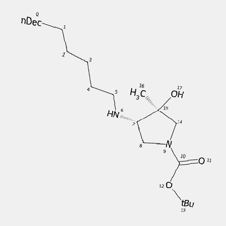 CCCCCCCCCCCCCCCN[C@H]1CN(C(=O)OC(C)(C)C)C[C@]1(C)O